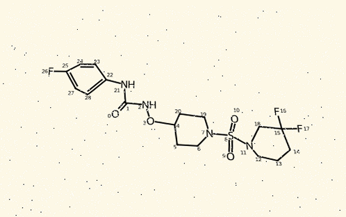 O=C(NOC1CCN(S(=O)(=O)N2CCCC(F)(F)C2)CC1)Nc1ccc(F)cc1